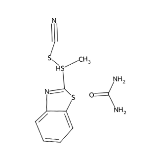 C[SH](SC#N)c1nc2ccccc2s1.NC(N)=O